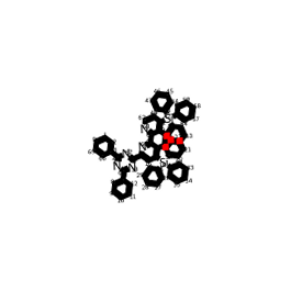 c1ccc(-c2nc(-c3ccccc3)nc(-c3cc([Si](c4ccccc4)(c4ccccc4)c4ccccc4)c4ccc5c([Si](c6ccccc6)(c6ccccc6)c6ccccc6)ccnc5c4n3)n2)cc1